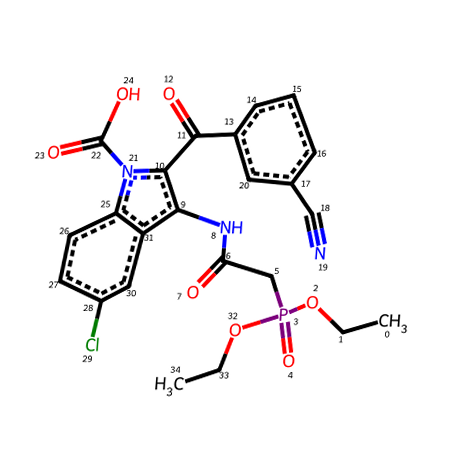 CCOP(=O)(CC(=O)Nc1c(C(=O)c2cccc(C#N)c2)n(C(=O)O)c2ccc(Cl)cc12)OCC